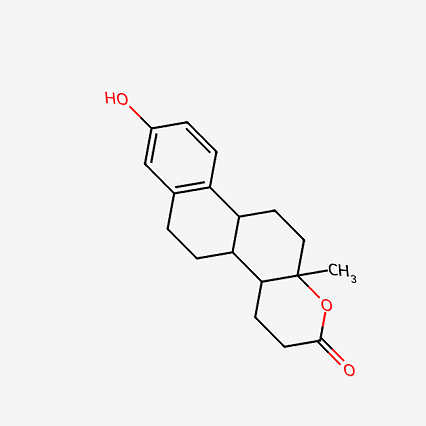 CC12CCC3c4ccc(O)cc4CCC3C1CCC(=O)O2